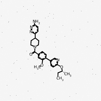 CC[C@@H](C)Oc1ccc(-c2ccc(C(=O)N3CCC(c4ccc(N)nn4)CC3)cc2OC)cn1